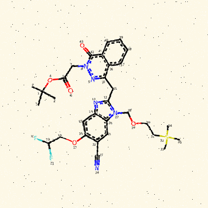 CC(C)(C)OC(=O)Cn1nc(Cc2nc3cc(OCC(F)F)c(C#N)cc3n2COCCS(C)(C)C)c2ccccc2c1=O